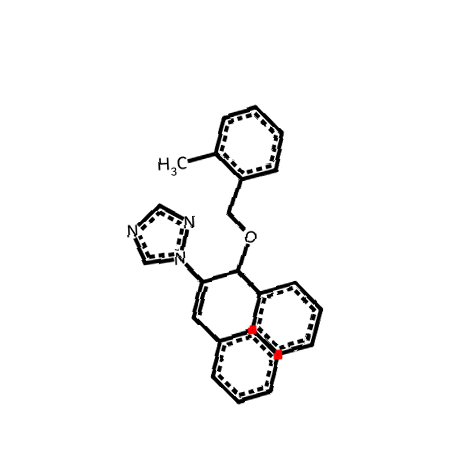 Cc1ccccc1COC(/C(=C\c1ccccc1)n1cncn1)c1ccccc1